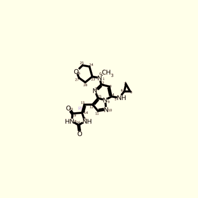 CN(c1cc(NC2CC2)n2ncc(/C=C3\NC(=O)NC3=O)c2n1)C1CCOCC1